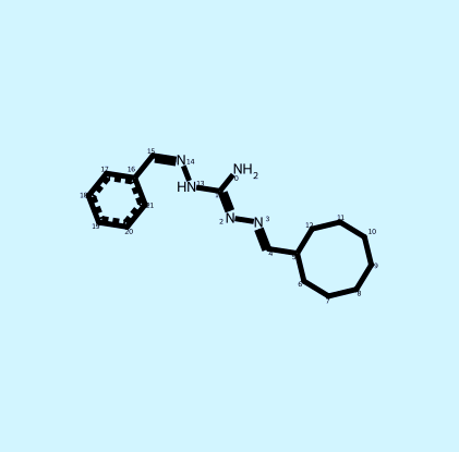 N/C(=N\N=C\C1CCCCCCC1)N/N=C\c1ccccc1